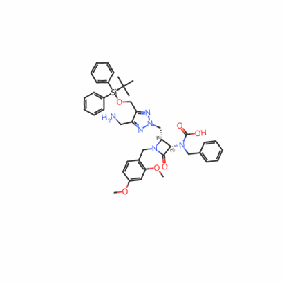 COc1ccc(CN2C(=O)[C@@H](N(Cc3ccccc3)C(=O)O)[C@H]2Cn2nc(CN)c(CO[Si](c3ccccc3)(c3ccccc3)C(C)(C)C)n2)c(OC)c1